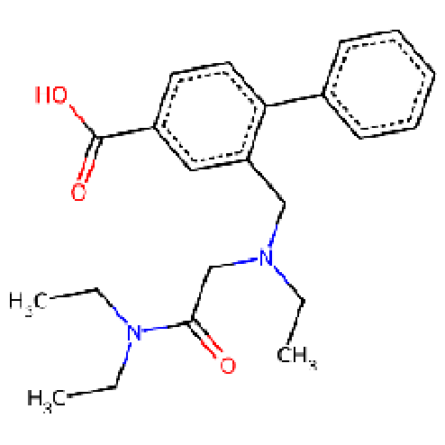 CCN(CC(=O)N(CC)CC)Cc1cc(C(=O)O)ccc1-c1ccccc1